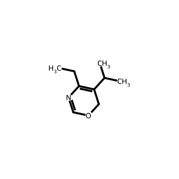 CCC1=C(C(C)C)COC=N1